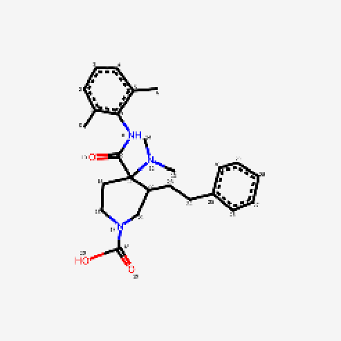 Cc1cccc(C)c1NC(=O)C1(N(C)C)CCN(C(=O)O)CC1CCc1ccccc1